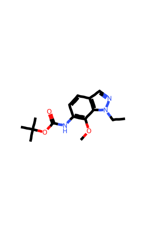 CCn1ncc2ccc(NC(=O)OC(C)(C)C)c(OC)c21